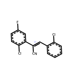 N#C/C(=C\c1ccccc1Cl)c1cc(F)ccc1Cl